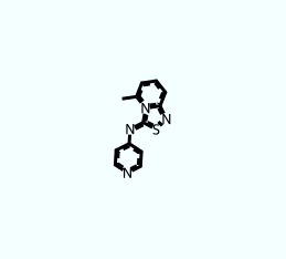 Cc1cccc2ns/c(=N\c3ccncc3)n12